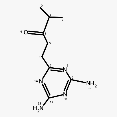 CC(C)C(=O)CCc1nc(N)nc(N)n1